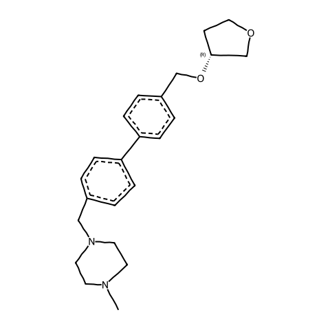 CN1CCN(Cc2ccc(-c3ccc(CO[C@@H]4CCOC4)cc3)cc2)CC1